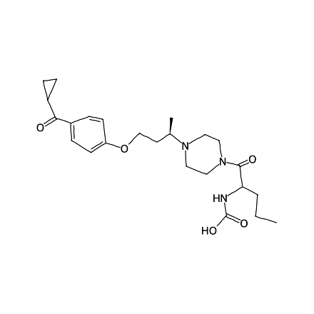 CCCC(NC(=O)O)C(=O)N1CCN([C@H](C)CCOc2ccc(C(=O)C3CC3)cc2)CC1